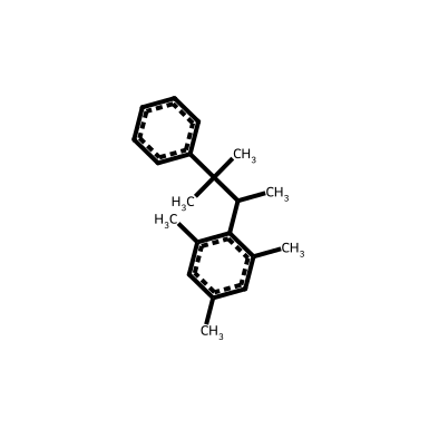 Cc1cc(C)c(C(C)C(C)(C)c2ccccc2)c(C)c1